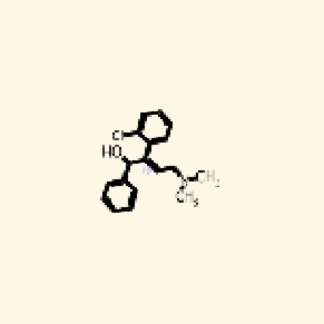 CN(C)C/C=C(\c1ccccc1Cl)C(O)c1ccccc1